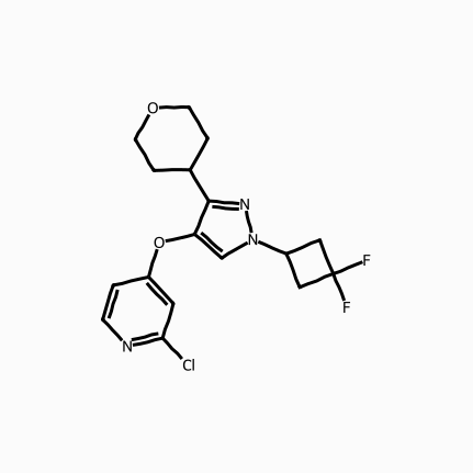 FC1(F)CC(n2cc(Oc3ccnc(Cl)c3)c(C3CCOCC3)n2)C1